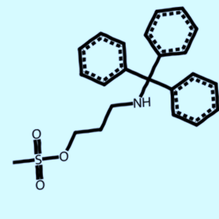 CS(=O)(=O)OCCCNC(c1ccccc1)(c1ccccc1)c1ccccc1